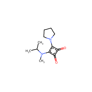 CC(C)N(C)c1c(N2CCCC2)c(=O)c1=O